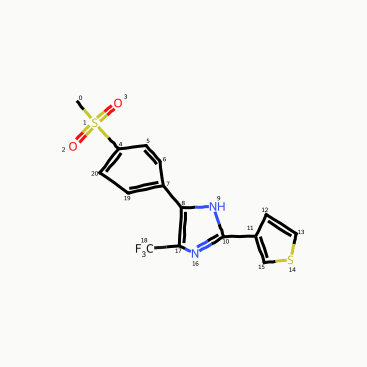 CS(=O)(=O)c1ccc(-c2[nH]c(-c3ccsc3)nc2C(F)(F)F)cc1